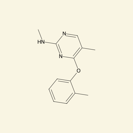 CNc1ncc(C)c(Oc2ccccc2C)n1